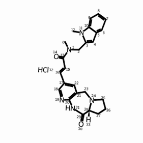 CN(Cc1cc2ccccc2n1C)C(=O)C=Cc1cnc2c(c1)CN1CCC[C@@H]1C(=O)N2.Cl